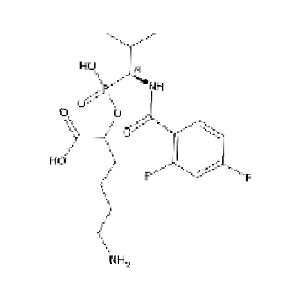 CC(C)[C@@H](NC(=O)c1ccc(F)cc1F)P(=O)(O)OC(CCCCN)C(=O)O